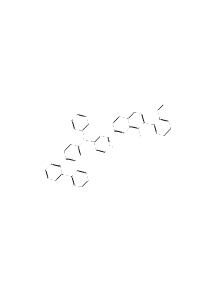 C=Cc1ccccc1-c1ccc2ccc(-c3cc(N(c4ccccc4)c4ccc(-c5ccccc5-c5ccccc5)cc4)ccn3)cc2c1C